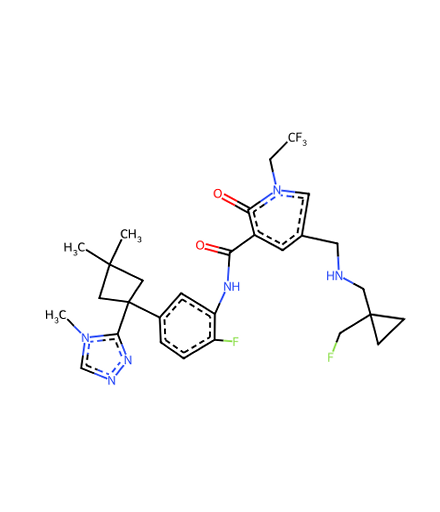 Cn1cnnc1C1(c2ccc(F)c(NC(=O)c3cc(CNCC4(CF)CC4)cn(CC(F)(F)F)c3=O)c2)CC(C)(C)C1